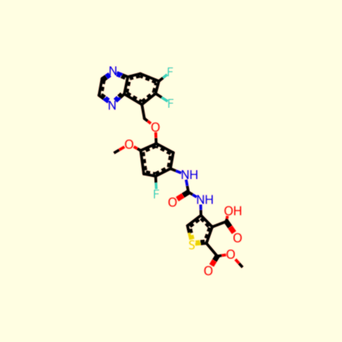 COC(=O)c1scc(NC(=O)Nc2cc(OCc3c(F)c(F)cc4nccnc34)c(OC)cc2F)c1C(=O)O